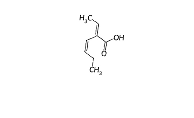 C/C=C(\C=C/CC)C(=O)O